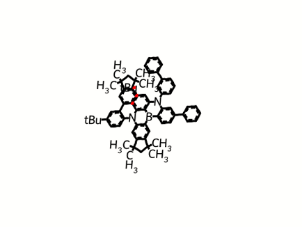 CC(C)(C)c1ccc(N2c3cc4c(cc3B3c5ccc(-c6ccccc6)cc5N(c5cccc(-c6ccccc6)c5)c5cc(C(C)(C)C)cc2c53)C(C)(C)CC4(C)C)c(-c2ccc3c(c2)C(C)(C)CC3(C)C)c1